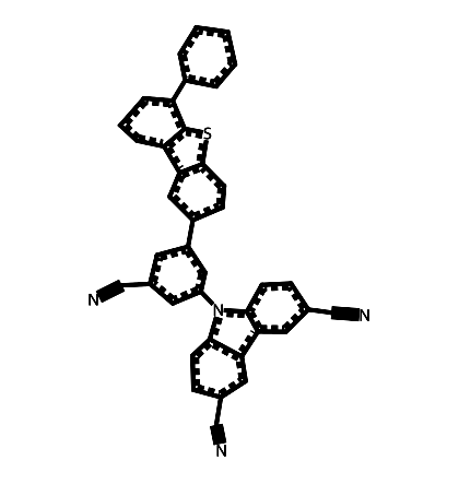 N#Cc1cc(-c2ccc3sc4c(-c5ccccc5)cccc4c3c2)cc(-n2c3ccc(C#N)cc3c3cc(C#N)ccc32)c1